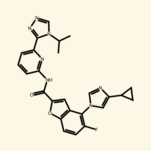 CC(C)n1cnnc1-c1cccc(NC(=O)c2cc3c(-n4cnc(C5CC5)c4)c(F)ccc3o2)n1